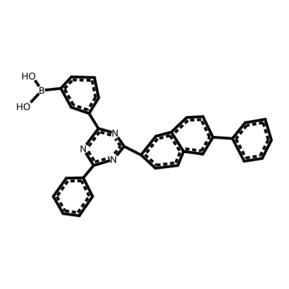 OB(O)c1cccc(-c2nc(-c3ccccc3)nc(-c3ccc4cc(-c5ccccc5)ccc4c3)n2)c1